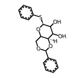 OC1C(O)[C@H](Sc2ccccc2)OC2COC(c3ccccc3)O[C@@H]21